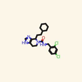 O=C(NCc1ccc(Cl)cc1Cl)N1CCc2[nH]cnc2C1CCC1CCCCC1